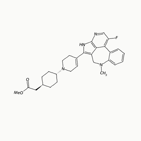 COC(=O)C[C@H]1CC[C@H](N2CC=C(c3[nH]c4ncc(F)c5c4c3CN(C)c3ccccc3-5)CC2)CC1